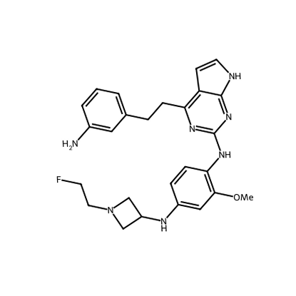 COc1cc(NC2CN(CCF)C2)ccc1Nc1nc(CCc2cccc(N)c2)c2cc[nH]c2n1